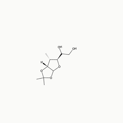 C[C@@H]1[C@@H](C(O)CO)OC2OC(C)(C)O[C@@H]21